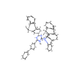 CC1(C)c2ccccc2-c2ccc(-c3nc(-c4ccc(-c5ccccc5)cc4)nc(-n4c5ccccc5c5ccc6c(c54)C(C)(C)c4ccccc4-6)n3)cc21